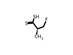 C[C@H](CF)C(=S)S